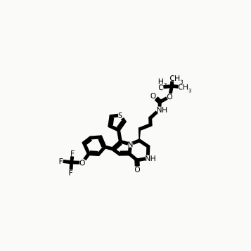 CC(C)(C)OC(=O)NCCC[C@H]1CNC(=O)c2cc(-c3cccc(OC(F)(F)F)c3)c(-c3ccsc3)n21